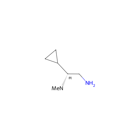 CN[C@@H](CN)C1CC1